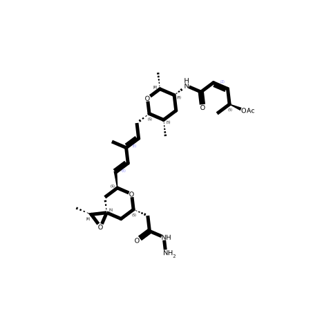 CC(=O)O[C@@H](C)/C=C\C(=O)N[C@@H]1C[C@H](C)[C@H](C/C=C(C)/C=C/[C@@H]2C[C@]3(C[C@@H](CC(=O)NN)O2)O[C@@H]3C)O[C@@H]1C